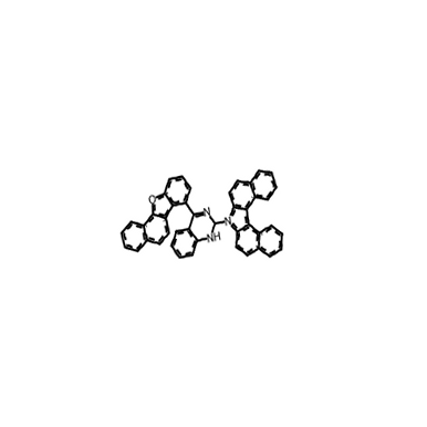 c1ccc2c(c1)NC(n1c3ccc4ccccc4c3c3c4ccccc4ccc31)N=C2c1cccc2oc3c4ccccc4ccc3c12